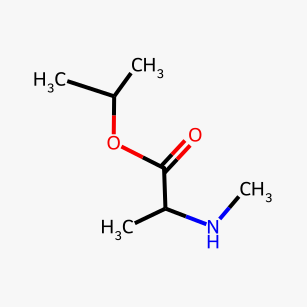 CNC(C)C(=O)OC(C)C